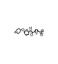 CN1CCC(Oc2cccc(NC(=O)c3ccc([N+](=O)[O-])s3)n2)CC1